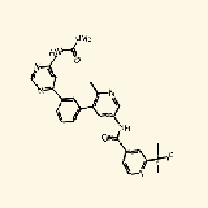 COC(=O)Nc1cc(-c2cccc(-c3cc(NC(=O)c4ccnc(C(C)(C)F)c4)cnc3C)c2)ncn1